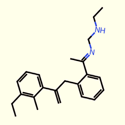 C=C(Cc1ccccc1/C(C)=N/CNCC)c1cccc(CC)c1C